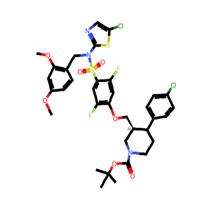 COc1ccc(CN(c2ncc(Cl)s2)S(=O)(=O)c2cc(F)c(OC[C@@H]3CN(C(=O)OC(C)(C)C)CCC3c3ccc(Cl)cc3)cc2F)c(OC)c1